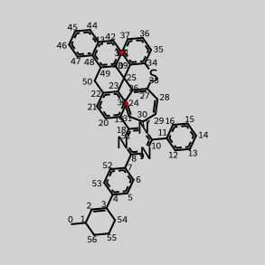 CC1C=C(c2ccc(-c3nc(-c4ccccc4)nc(-c4ccc5c(c4)C4(C6=C(C=CCC=C6)Sc6ccccc64)c4ccc6ccccc6c4C5)n3)cc2)CCC1